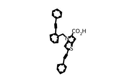 O=C(O)c1cc2sc(C#Cc3ccccc3)cc2n1Cc1ccccc1C#Cc1ccccc1